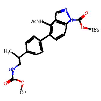 CC(=O)Nc1c(-c2ccc(C(C)CNC(=O)OC(C)(C)C)cc2)ccc2c1cnn2C(=O)OC(C)(C)C